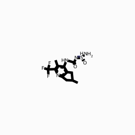 Cc1c(C(F)(F)F)nc2c(c1NC(=O)/N=[SH](/N)=O)CC(C)C2